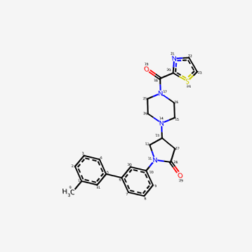 Cc1cccc(-c2cccc(N3CC(N4CCN(C(=O)c5nccs5)CC4)CC3=O)c2)c1